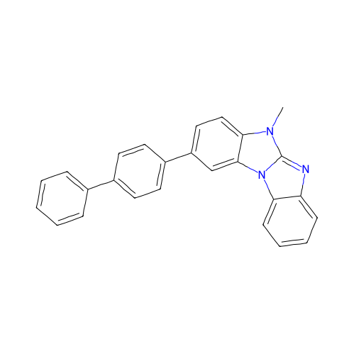 Cn1c2ccc(-c3ccc(-c4ccccc4)cc3)cc2n2c3ccccc3nc12